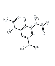 CC(C)c1cc(N(N)C(N)=O)c(Cl)c(N(N)C(N)=O)c1